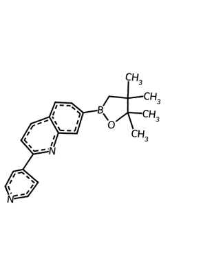 CC1(C)CB(c2ccc3ccc(-c4ccncc4)nc3c2)OC1(C)C